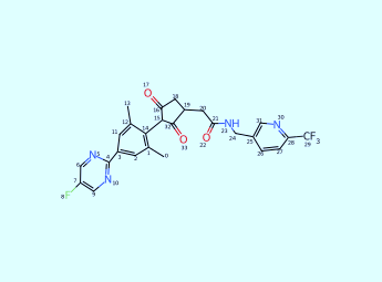 Cc1cc(-c2ncc(F)cn2)cc(C)c1C1C(=O)CC(CC(=O)NCc2ccc(C(F)(F)F)nc2)C1=O